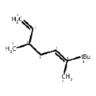 C=CC(C)C/C=C(\C)C(C)(C)C